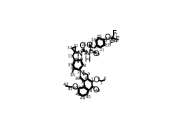 CCOC1=C2CN(c3ccc(CC4(NC(=O)NS(=O)(=O)c5ccc(OC(F)(F)F)cc5)CC4)cc3C)C=C2c2c(OCC)cccc2C1=O